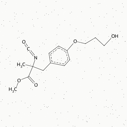 COC(=O)C(C)(Cc1ccc(OCCCO)cc1)N=C=O